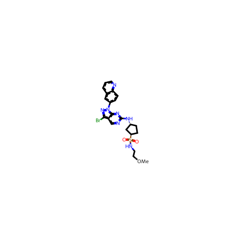 COCCNS(=O)(=O)[C@@H]1CC[C@@H](Nc2ncc3c(Br)nn(-c4ccc5ncccc5c4)c3n2)C1